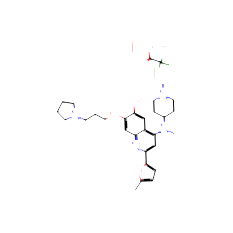 Cc1ccc(-c2cc(N(C)C3CCN(C)CC3)c3cc(O)c(OCCCN4CCCC4)cc3n2)o1.O=C(O)C(F)(F)F